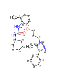 Cc1cccc(OCCCn2cnc(-c3ccccc3)c2C)c1NC(=O)NC1CCCCC1